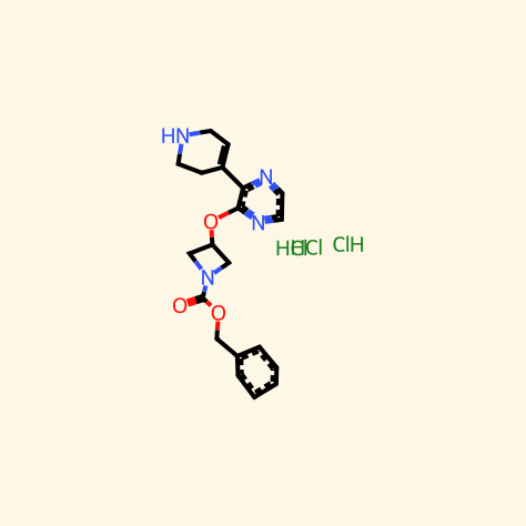 Cl.Cl.Cl.O=C(OCc1ccccc1)N1CC(Oc2nccnc2C2=CCNCC2)C1